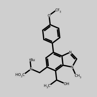 CC(O)c1c(CN(C(=O)O)C(C)(C)C)cc(-c2ccc(OC(F)(F)F)cc2)c2ncn(C)c12